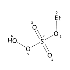 CCOS(=O)(=O)OO